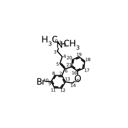 CN(C)CCC=C1c2cc(Br)ccc2COc2ccccc21